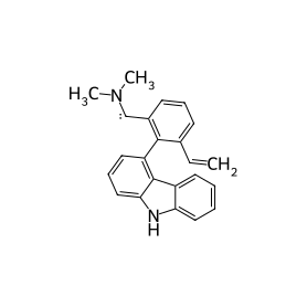 C=Cc1cccc([C]N(C)C)c1-c1cccc2[nH]c3ccccc3c12